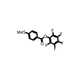 CSc1ccc(C(=O)Oc2c(F)c(F)c(F)c(F)c2F)cc1